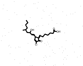 CCCCC(C)CC(O)/C=C/C1C=C(Cl)C(=O)/C1=C\CCCCCC(=O)O